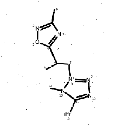 Cc1noc(C(C)C[n+]2nnc(C(C)C)n2C)n1